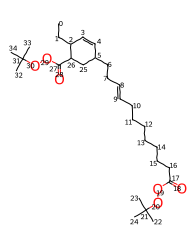 CCC1C=CC(CCC=CCCCCCCCC(=O)OOC(C)(C)C)CC1C(=O)OOC(C)(C)C